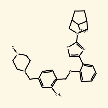 Cc1cc(CN2CC[S+]([O-])CC2)ccc1COc1ccccc1-c1csc(N2CC3CCC(C2)C3C(=O)O)n1